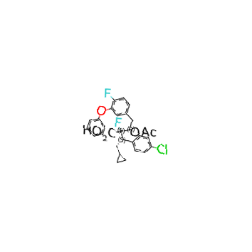 CC(=O)O[C@H](Cc1ccc(F)c(Oc2ccccc2)c1)[C@](F)(C(=O)O)[C@@H](CC1CC1)c1ccc(Cl)cc1